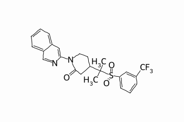 CC(C)(C1CCN(c2cc3ccccc3cn2)C(=O)C1)S(=O)(=O)c1cccc(C(F)(F)F)c1